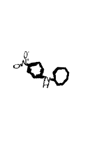 O=[N+]([O-])c1ccc(NC2CCCCCCC2)cc1